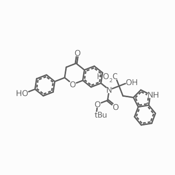 CC(C)(C)OC(=O)N(c1ccc2c(c1)OC(c1ccc(O)cc1)CC2=O)C(O)(Cc1c[nH]c2ccccc12)C(=O)O